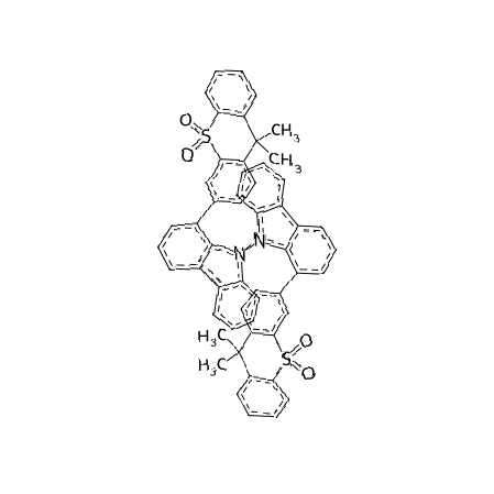 CC1(C)c2ccccc2S(=O)(=O)c2cc(-c3cccc4c5ccccc5n(-n5c6ccccc6c6cccc(-c7ccc8c(c7)S(=O)(=O)c7ccccc7C8(C)C)c65)c34)ccc21